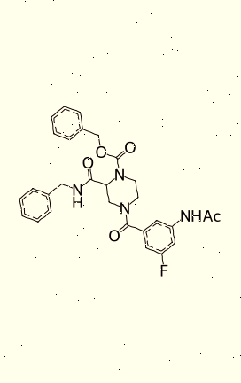 CC(=O)Nc1cc(F)cc(C(=O)N2CCN(C(=O)OCc3ccccc3)C(C(=O)NCc3ccccc3)C2)c1